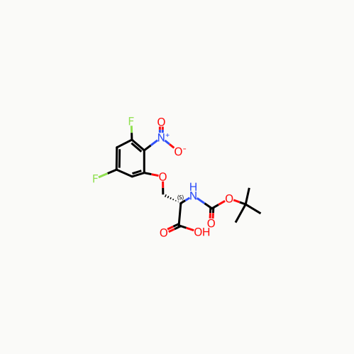 CC(C)(C)OC(=O)N[C@@H](COc1cc(F)cc(F)c1[N+](=O)[O-])C(=O)O